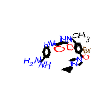 CC(NC(=O)CC(=O)Nc1ccc(C(=N)N)cc1)c1ccc(C(=O)N2CCN(C3CC3)CC2)c(Br)c1